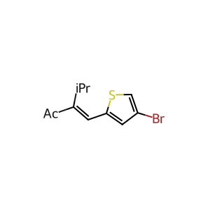 CC(=O)/C(=C/c1cc(Br)cs1)C(C)C